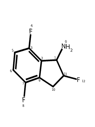 NC1c2c(F)ccc(F)c2CC1F